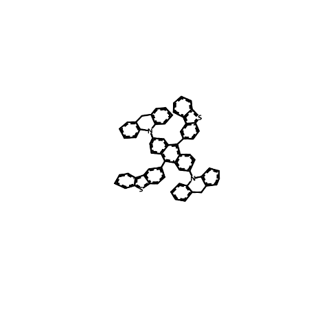 c1ccc2c(c1)Cc1ccccc1N2c1ccc2c(-c3ccc4sc5ccccc5c4c3)c3cc(N4c5ccccc5Cc5ccccc54)ccc3c(-c3ccc4sc5ccccc5c4c3)c2c1